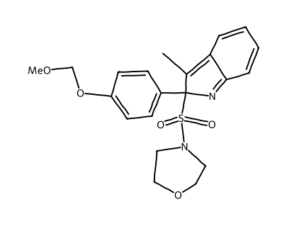 COCOc1ccc(C2(S(=O)(=O)N3CCOCC3)N=c3ccccc3=C2C)cc1